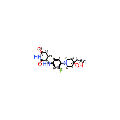 CC(=O)CC1(O)CCN(c2ccc(N[C@H]3CCC(=O)NC3=O)cc2F)CC1